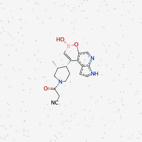 C[C@H]1CN(C(=O)CC#N)CC[C@H]1C1=CB(O)Oc2cnc3[nH]ccc3c21